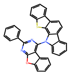 c1ccc(-c2nc(-n3c4ccccc4c4ccc5c6ccccc6sc5c43)c3c(n2)oc2ccccc23)cc1